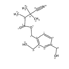 CC(C(=O)OCc1ccc(CO)cc1CO)C(C)(C)C#N